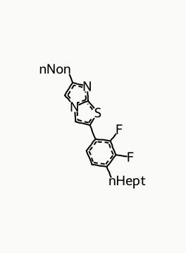 CCCCCCCCCc1cn2cc(-c3ccc(CCCCCCC)c(F)c3F)sc2n1